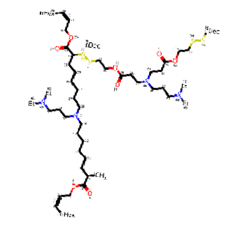 CCCCCC/C=C\COC(=O)C(C)CCCCCCN(CCCCCCC(C(=O)OC/C=C\CCCCCC)[SH](CCCCCCCCCC)SCCOC(=O)CCN(CCCN(CC)CC)CCC(=O)OCCSSCCCCCCCCCC)CCCN(CC)CC